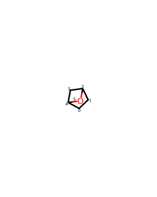 C1CC2CC1O2